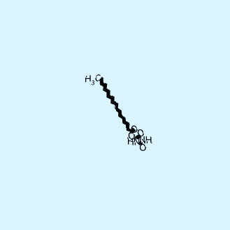 CCCCCCCCCCCCCCCCCC(=O)OC1NC(=O)NC1=O